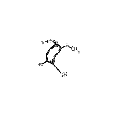 CSc1cc(S)c(S)cc1S